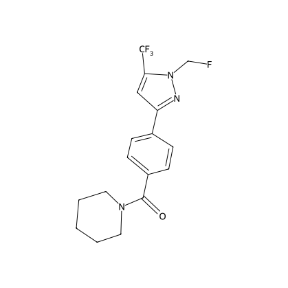 O=C(c1ccc(-c2cc(C(F)(F)F)n(CF)n2)cc1)N1CCCCC1